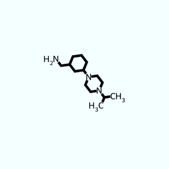 CC(C)N1CCN(C2CCCC(CN)C2)CC1